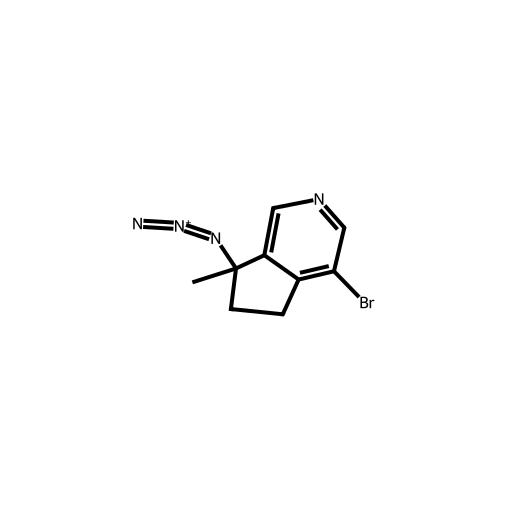 CC1(N=[N+]=[N-])CCc2c(Br)cncc21